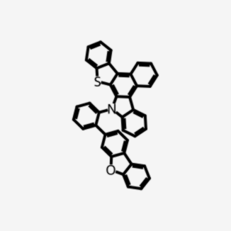 c1ccc(-n2c3ccccc3c3c4ccccc4c4c5ccccc5sc4c32)c(-c2ccc3c(c2)oc2ccccc23)c1